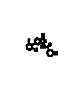 O=C(Nc1n[nH]c2ccc(-c3c(F)cccc3Cl)cc12)[C@H]1CCCNC1